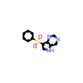 O=S(=O)(c1ccccc1)c1c[nH]c2cncnc12